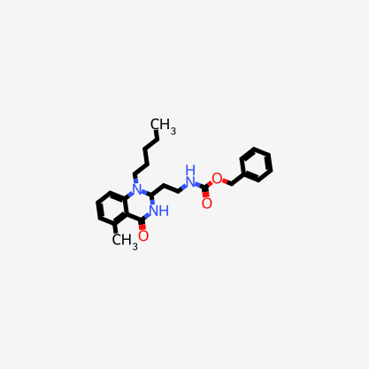 CCCCCN1c2cccc(C)c2C(=O)NC1CCNC(=O)OCc1ccccc1